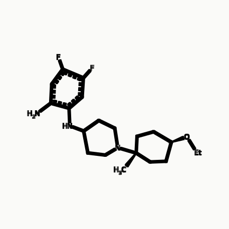 CCO[C@H]1CC[C@](C)(N2CCC(Nc3cc(F)c(F)cc3N)CC2)CC1